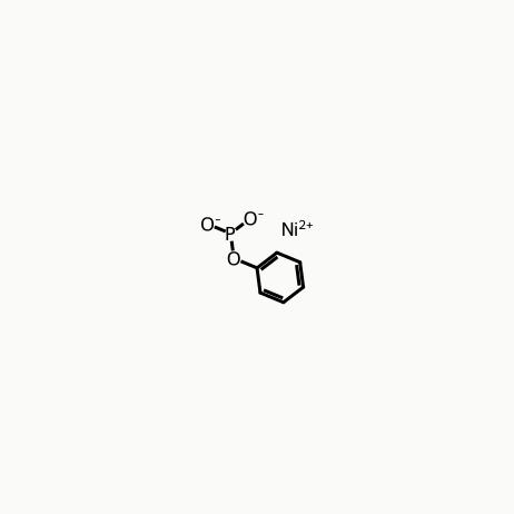 [Ni+2].[O-]P([O-])Oc1ccccc1